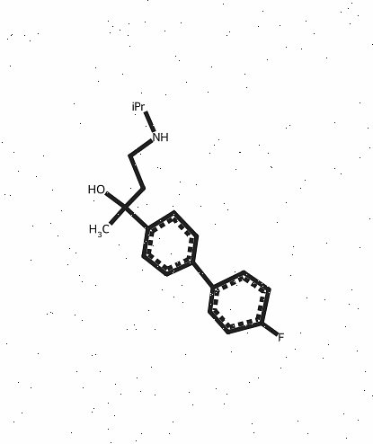 CC(C)NCCC(C)(O)c1ccc(-c2ccc(F)cc2)cc1